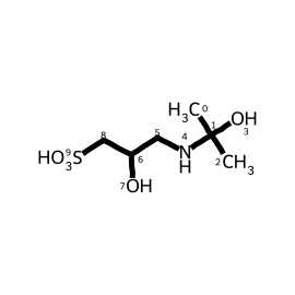 CC(C)(O)NCC(O)CS(=O)(=O)O